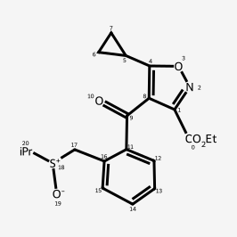 CCOC(=O)c1noc(C2CC2)c1C(=O)c1ccccc1C[S+]([O-])C(C)C